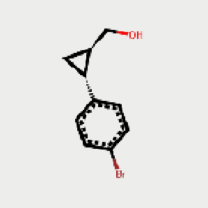 OC[C@@H]1C[C@H]1c1ccc(Br)cc1